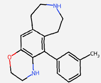 Cc1cccc(-c2c3c(cc4c2NCCO4)CCNCC3)c1